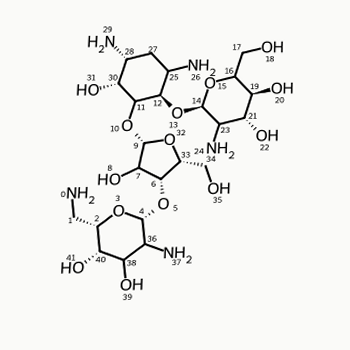 NC[C@@H]1O[C@H](O[C@@H]2C(O)[C@H](OC3[C@H](O[C@H]4OC(CO)[C@@H](O)[C@H](O)C4N)C(N)C[C@@H](N)[C@H]3O)O[C@@H]2CO)C(N)C(O)[C@@H]1O